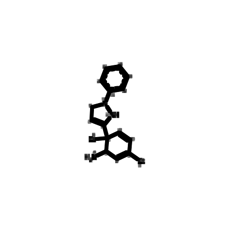 CCC1=CC(N)C(CC)(C2=CCN(c3ccccc3)N2)C=C1